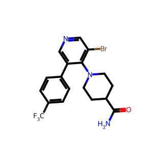 NC(=O)C1CCN(c2c(Br)cncc2-c2ccc(C(F)(F)F)cc2)CC1